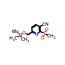 CC(C)(C)[Si](C)(C)OCc1ccc(C#N)c(S(C)(=O)=O)n1